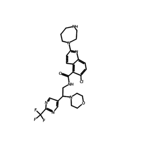 O=C(NCC(c1cnc(C(F)(F)F)nc1)N1CCOCC1)c1c(Cl)ccc2nc(N3CCCNCC3)ccc12